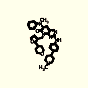 CN1CCC(c2ccc(Nc3ncc4cc(N(C)c5ccccc5)c(=O)n(Cc5ccoc5C5CCOCC5)c4n3)cc2)CC1